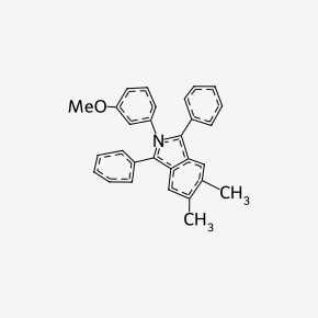 COc1cccc(-n2c(-c3ccccc3)c3cc(C)c(C)cc3c2-c2ccccc2)c1